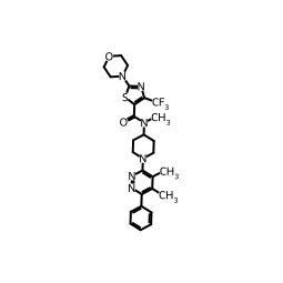 Cc1c(-c2ccccc2)nnc(N2CCC(N(C)C(=O)c3sc(N4CCOCC4)nc3C(F)(F)F)CC2)c1C